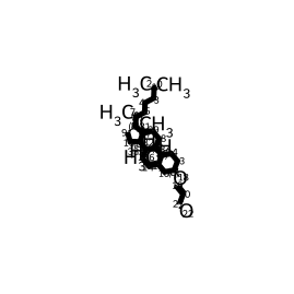 CC(C)CCC[C@@H](C)[C@H]1CC[C@H]2[C@@H]3CC=C4C[C@@H](OC=C[C]=O)CC[C@]4(C)[C@H]3CC[C@]12C